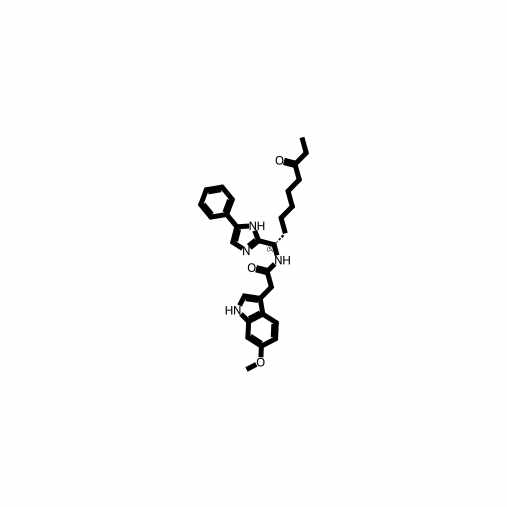 CCC(=O)CCCCC[C@H](NC(=O)Cc1c[nH]c2cc(OC)ccc12)c1ncc(-c2ccccc2)[nH]1